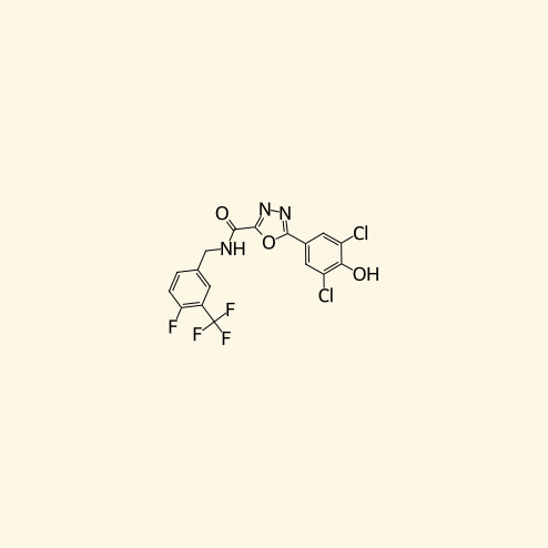 O=C(NCc1ccc(F)c(C(F)(F)F)c1)c1nnc(-c2cc(Cl)c(O)c(Cl)c2)o1